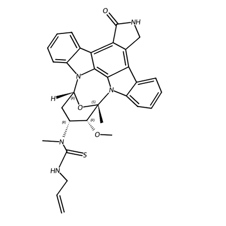 C=CCNC(=S)N(C)[C@@H]1C[C@H]2O[C@@](C)([C@@H]1OC)n1c3ccccc3c3c4c(c5c6ccccc6n2c5c31)C(=O)NC4